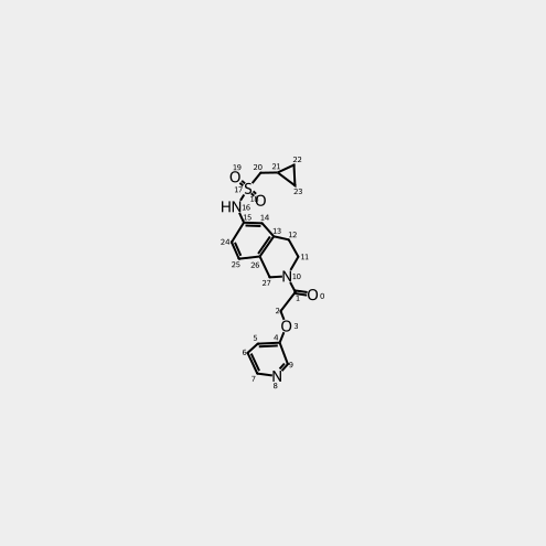 O=C(COc1cccnc1)N1CCc2cc(NS(=O)(=O)CC3CC3)ccc2C1